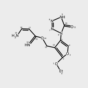 CCOc1occ(-n2nn[nH]c2=O)c1COC(=N)/C=C\N